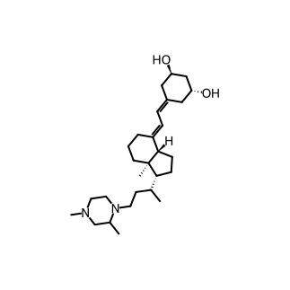 CC(CCN1CCN(C)CC1C)[C@H]1CC[C@H]2C(=CC=C3C[C@@H](O)C[C@H](O)C3)CCC[C@]12C